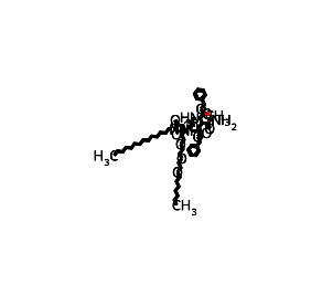 CCCCCCCCCCCCCCNC(=O)[C@H](CC(=O)N[C@H](C(=O)OCc1ccccc1)C(CC(=O)OCc1ccccc1)C(=O)[C@H](C)N)NC(=O)COCCOCCOCCCCCCC